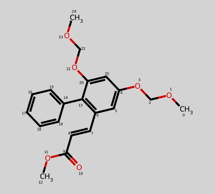 COCOc1cc(/C=C/C(=O)OC)c(-c2ccccc2)c(OCOC)c1